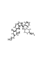 N[C@H]1CCC[C@@H](c2ccncc2Nc2ncc3ccc(-c4c(F)cc(CCO)cc4F)nn23)C1